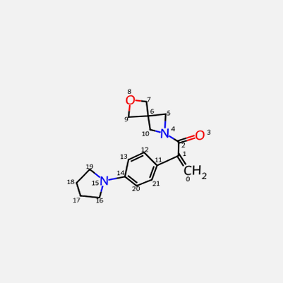 C=C(C(=O)N1CC2(COC2)C1)c1ccc(N2CCCC2)cc1